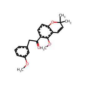 COc1cccc(CC(=O)c2ccc3c(c2OC)C=CC(C)(C)O3)c1